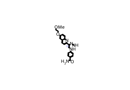 COCCOc1ccc2nc(/C(=C/Nc3ccc(C(N)=O)cc3)N=N)ccc2c1